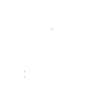 CC(C)n1c([C@H]2CCCN(C(=O)C3CC(F)(F)C3)C2)nc2c(N)nc3cc(-c4cc[nH]n4)ccc3c21